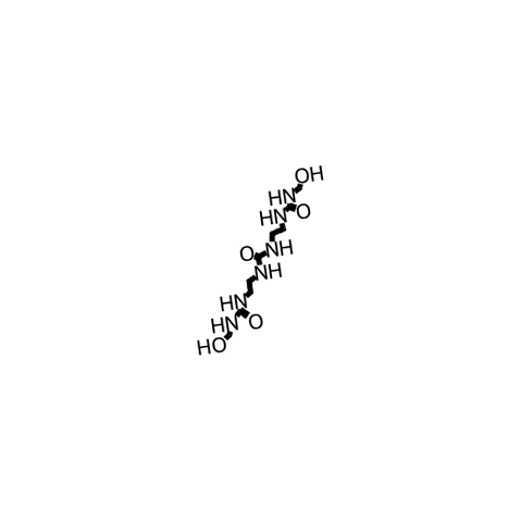 O=C(NCO)NCCNC(=O)NCCNC(=O)NCO